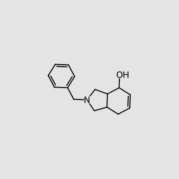 OC1C=CCC2CN(Cc3ccccc3)CC12